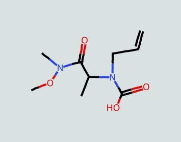 C=CCN(C(=O)O)C(C)C(=O)N(C)OC